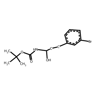 CC(C)(C)OC(=O)NC(O)CCc1cccc(Br)c1